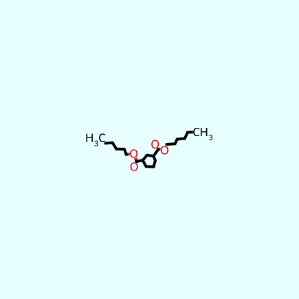 CCCCCCOC(=O)C1CCCC(C(=O)OCCCCCC)C1